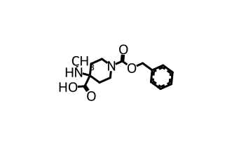 CNC1(C(=O)O)CCN(C(=O)OCc2ccccc2)CC1